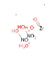 O.O.O=[N+]([O-])O.O=[N+]([O-])O.[O]=[Zr]